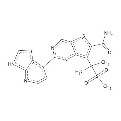 CC(C)(c1c(C(N)=O)sc2cnc(-c3ccnc4[nH]ccc34)nc12)S(C)(=O)=O